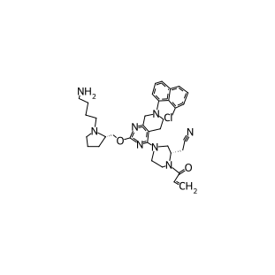 C=CC(=O)N1CCN(c2nc(OC[C@@H]3CCCN3CCCCN)nc3c2CCN(c2cccc4cccc(Cl)c24)C3)C[C@@H]1CC#N